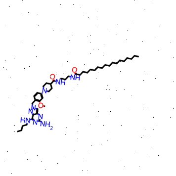 CCCCCCCCCCCCCCCCCC(=O)NCCCNC(=O)C1CCN(c2ccc(Cn3cc4nc(N)nc(NCCCC)c4n3)c(OC)c2)CC1